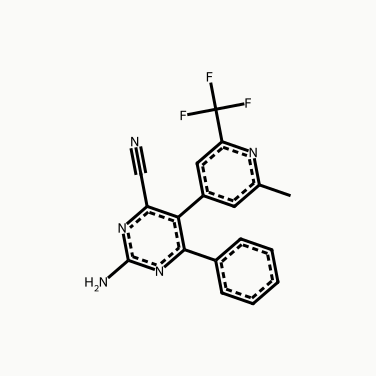 Cc1cc(-c2c(C#N)nc(N)nc2-c2ccccc2)cc(C(F)(F)F)n1